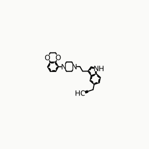 C#CCc1ccc2[nH]cc(CCN3CCN(c4cccc5c4OCCO5)CC3)c2c1